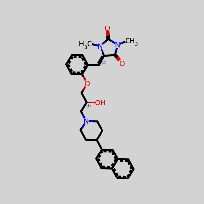 CN1C(=O)/C(=C/c2ccccc2OC[C@@H](O)CN2CCC(c3ccc4ccccc4c3)CC2)N(C)C1=O